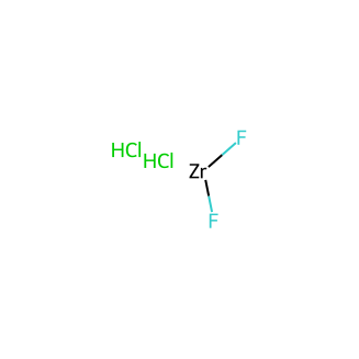 Cl.Cl.[F][Zr][F]